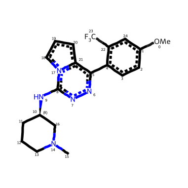 COc1ccc(-c2nnc(N[C@@H]3CCCN(C)C3)n3cccc23)c(C(F)(F)F)c1